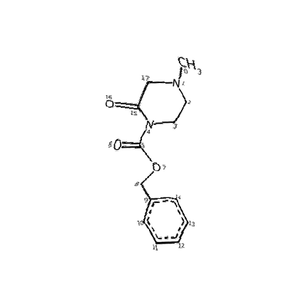 CN1CCN(C(=O)OCc2ccccc2)C(=O)C1